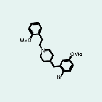 COc1ccc(Br)c(CC2CCN(CCc3ccccc3OC)CC2)c1